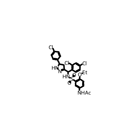 CCOc1ccc(NC(C)=O)cc1S(=O)(=O)NC(C1=NNC(c2ccc(Cl)cc2)C1)c1ccc(Cl)cc1Cl